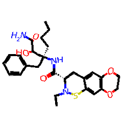 CCCC[C@@](Cc1ccccc1)(NC(=O)[C@@H]1Cc2cc3c(cc2SN1CC)OCCO3)[C@@H](O)C(N)=O